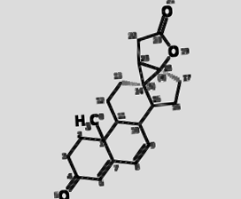 CC12CCC(=O)C=C1C=CC1C2CC[C@@]23C1CC[C@]21OC(=O)CC31